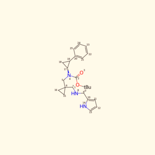 CC(C)(C)OC(=O)N(CC1(CNCc2ccc[nH]2)CC1)[C@H]1CC1c1ccccc1